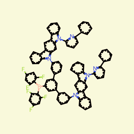 Fc1cc(F)c(B(c2cc(-c3cccc(-n4c5ccccc5c5cc6c(cc54)c4ccccc4n6-c4cccc(-c5ccccc5)n4)c3)cc(-c3cccc(-n4c5ccccc5c5cc6c7ccccc7n(-c7cccc(-c8ccccc8)n7)c6cc54)c3)c2)c2c(F)cc(F)cc2F)c(F)c1